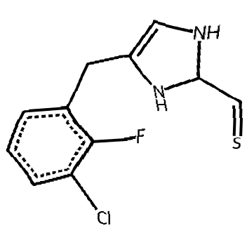 Fc1c(Cl)cccc1CC1=CNC(C=S)N1